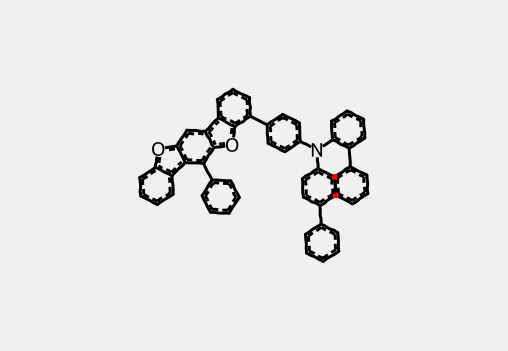 c1ccc(-c2ccc(N(c3ccc(-c4cccc5c4oc4c(-c6ccccc6)c6c(cc45)oc4ccccc46)cc3)c3ccccc3-c3ccccc3)cc2)cc1